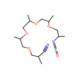 CC(C#N)COCC(C)OCC(C)OCC(C)OCC(C)N=C=O